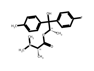 Cc1ccc(C(O)(c2ccc(F)cc2)[C@H](C)OC(=O)[C@H](C)N(C)C)cc1